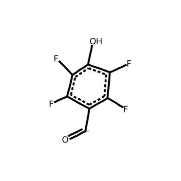 O=[C]c1c(F)c(F)c(O)c(F)c1F